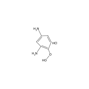 Cl.Nc1ccc(OO)c(N)c1